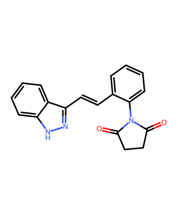 O=C1CCC(=O)N1c1ccccc1C=Cc1n[nH]c2ccccc12